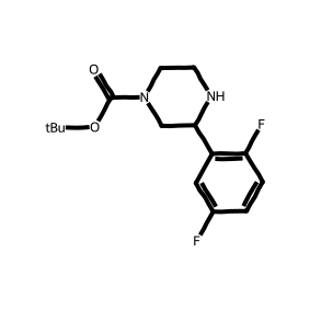 CC(C)(C)OC(=O)N1CCNC(c2cc(F)ccc2F)C1